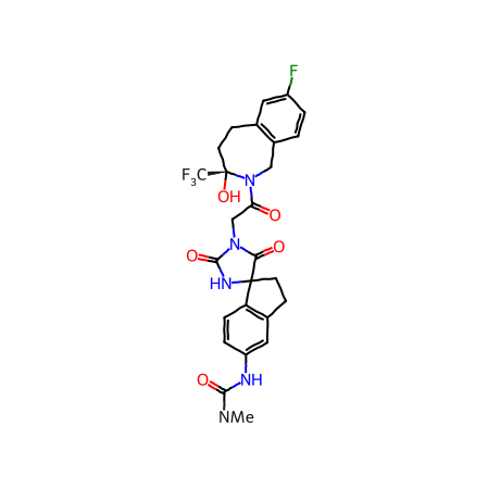 CNC(=O)Nc1ccc2c(c1)CCC21NC(=O)N(CC(=O)N2Cc3ccc(F)cc3CC[C@]2(O)C(F)(F)F)C1=O